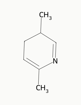 CC1=CCC(C)C=N1